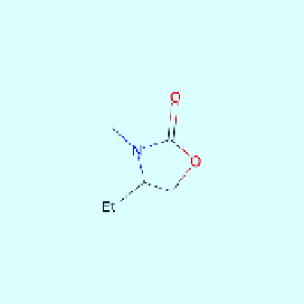 CCC1COC(=O)N1C